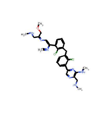 C=N/C(=C\N=C(\CNC)COC)c1cccc(Cc2cccc(-c3cnc(CNC)c(NC)n3)c2Cl)c1Cl